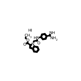 CCOC(=O)c1cc2ccccc2n1CC(=O)Nc1ccc(C(=N)N)cc1.I